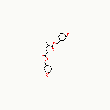 CC(CCC(=O)OCC1CCC2OC2C1)C(=O)OCC1CCC2OC2C1